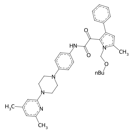 CCCCOCn1c(C)cc(-c2ccccc2)c1C(=O)C(=O)Nc1ccc(N2CCN(c3cc(C)cc(C)n3)CC2)cc1